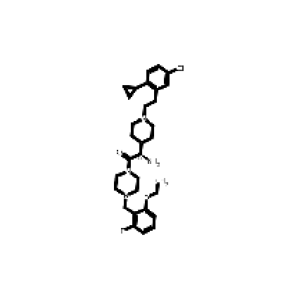 CCOc1cccc(F)c1CN1CCN(C(=O)[C@H](N)C2CCN(CCc3cc(Cl)ccc3C3CC3)CC2)CC1